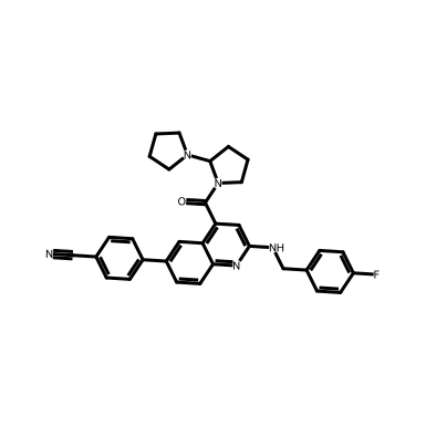 N#Cc1ccc(-c2ccc3nc(NCc4ccc(F)cc4)cc(C(=O)N4CCCC4N4CCCC4)c3c2)cc1